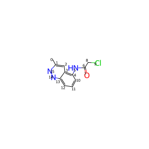 Cc1cc2c(NC(=O)CCl)cccc2nn1